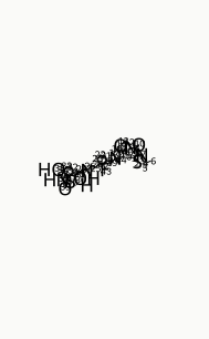 Cc1sc(C(C)C)nc1C(=O)N1CCOC2(CCN(Cc3cccc(CCNC[C@H](O)c4ccc(O)c5[nH]c(=O)sc45)c3F)CC2)C1